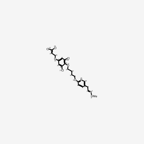 CON=CCc1ccc(OCCCCOc2c(Cl)cc(OCC=C(Cl)Cl)cc2Cl)nc1